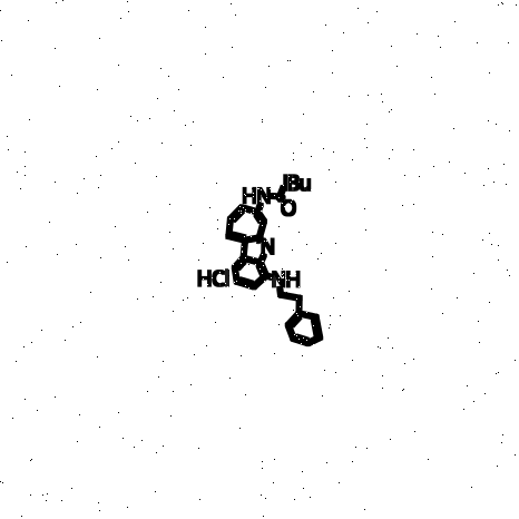 CCC(C)C(=O)Nc1cccc2c3cccc(NCCc4ccccc4)c3nc-2c1.Cl